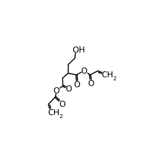 C=CC(=O)OC(=O)CC(CCO)C(=O)OC(=O)C=C